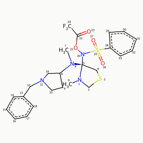 CN1CSC[C@@]1(N(C)C1CCN(Cc2ccccc2)C1)N(OC(=O)C(F)(F)F)S(=O)(=O)c1ccccc1